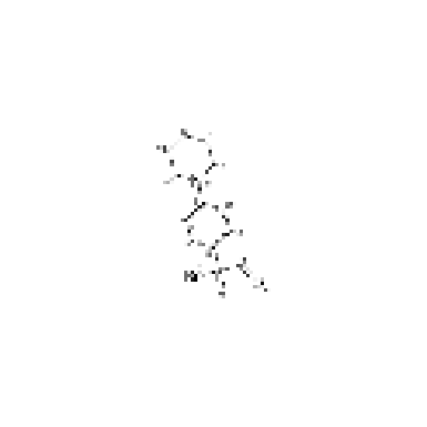 CC(Br)(C=O)c1ccc(N2CCCCC2)cc1